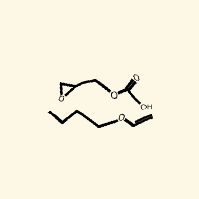 C=COCCCC.O=C(O)OCC1CO1